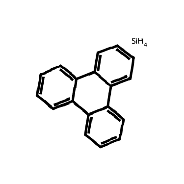 [SiH4].c1ccc2c(c1)c1ccccc1c1ccccc21